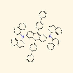 c1ccc(-c2ccc(-c3c4ccc(N(c5cccc6ccccc56)c5cccc6ccccc56)cc4c(-c4ccc(-c5ccccc5)cc4)c4ccc(N(c5cccc6ccccc56)c5cccc6ccccc56)cc34)cc2)cc1